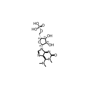 CN(C)c1c2ncn([C@@H]3O[C@H](COP(=O)(O)O)[C@@H](O)[C@H]3O)c2nc(=O)n1C